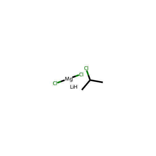 CC(C)Cl.[Cl][Mg][Cl].[LiH]